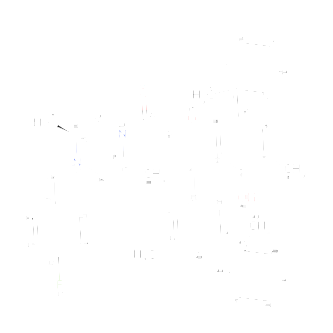 Cc1cc(Cc2cc(C)cc(C3(C)CCCCC3)c2OCC(=O)N2C[C@H](C)N(Cc3ccc(F)cc3)C[C@H]2C)c(O)c(C2(C)CCCCC2)c1